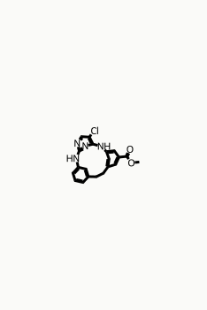 COC(=O)c1cc2cc(c1)Nc1nc(ncc1Cl)Nc1cccc(c1)CC2